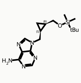 CC(C)(C)[Si](C)(C)OC[C@@H]1C[C@@H]1Cn1cnc2c(N)ncnc21